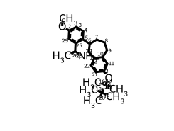 COc1ccc(C2CCCc3cc(O[Si](C)(C)C(C)(C)C)ccc3C2)c(C(C)N)c1